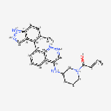 C=CC(=O)N1CCCC(Nc2cnnc3c(-c4c(C)ccc5[nH]ncc45)cccc23)C1